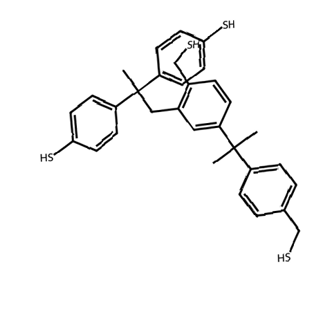 CC(C)(c1ccc(CS)cc1)c1ccc(CS)c(CC(C)(c2ccc(S)cc2)c2ccc(S)cc2)c1